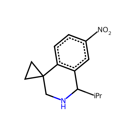 CC(C)C1NCC2(CC2)c2ccc([N+](=O)[O-])cc21